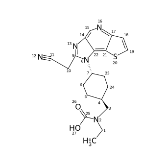 CCN(C[C@H]1CC[C@H](n2c(CC#N)nc3cnc4ccsc4c32)CC1)C(=O)O